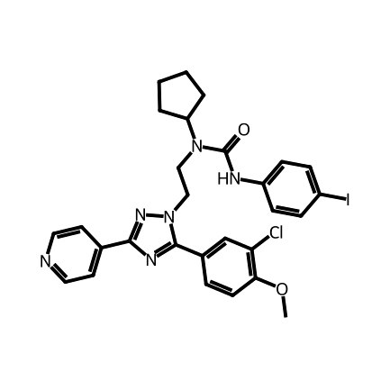 COc1ccc(-c2nc(-c3ccncc3)nn2CCN(C(=O)Nc2ccc(I)cc2)C2CCCC2)cc1Cl